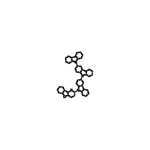 c1ccc2c(c1)oc1ccc(-n3c4ccccc4c4cc(-n5c6ccccc6c6cc(-n7c8ccccc8c8ccccc87)ccc65)ccc43)nc12